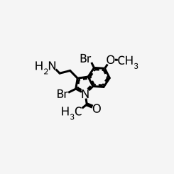 COc1ccc2c(c1Br)c(CCN)c(Br)n2C(C)=O